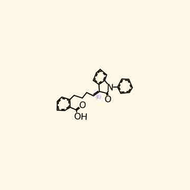 O=C(O)c1ccccc1CCC/C=C1/C(=O)N(c2ccccc2)c2ccccc21